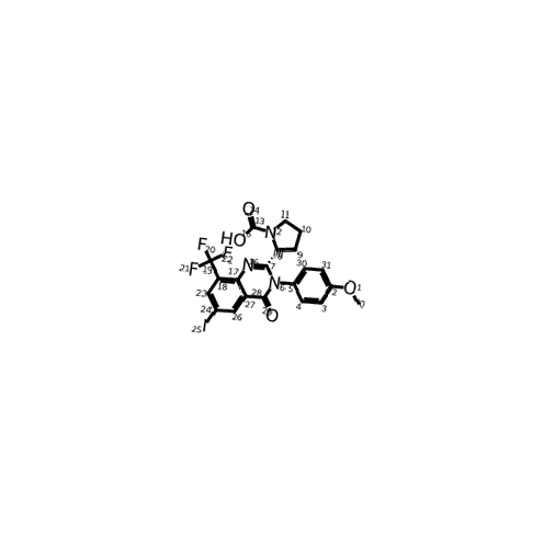 COc1ccc(-n2c([C@H]3CCCN3C(=O)O)nc3c(C(F)(F)F)cc(I)cc3c2=O)cc1